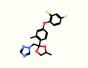 Cc1cc(Oc2ccc(F)cc2F)ccc1C1(Cn2cncn2)OCC(C)O1